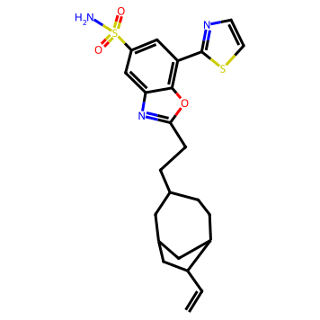 C=CC1CC2CC(CCc3nc4cc(S(N)(=O)=O)cc(-c5nccs5)c4o3)CCC1C2